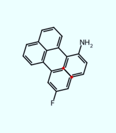 Nc1ccccc1-c1cccc2cccc(-c3cccc(F)c3)c12